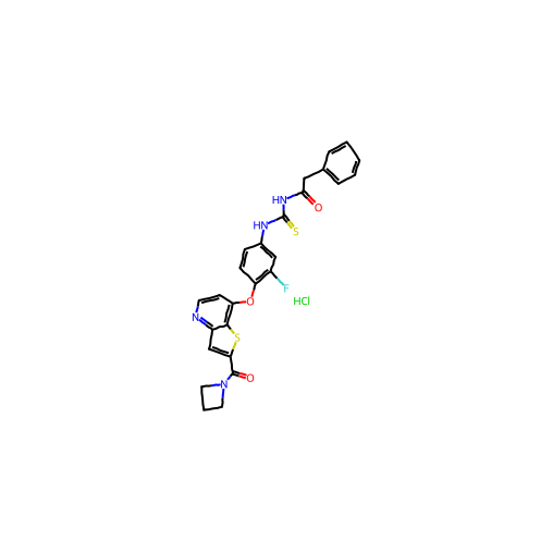 Cl.O=C(Cc1ccccc1)NC(=S)Nc1ccc(Oc2ccnc3cc(C(=O)N4CCC4)sc23)c(F)c1